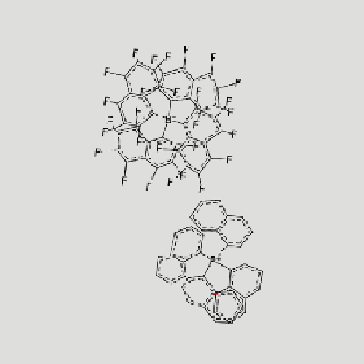 Fc1c(F)c(F)c2c([B-](c3c(F)c(F)c(F)c4c(F)c(F)c(F)c(F)c34)(c3c(F)c(F)c(F)c4c(F)c(F)c(F)c(F)c34)c3c(F)c(F)c(F)c4c(F)c(F)c(F)c(F)c34)c(F)c(F)c(F)c2c1F.c1ccc2c([P+](c3cccc4ccccc34)(c3cccc4ccccc34)c3cccc4ccccc34)cccc2c1